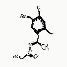 C/C(=N\[S+]([O-])C(C)(C)C)c1cc(Br)c(F)cc1F